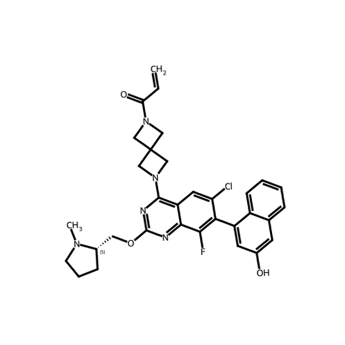 C=CC(=O)N1CC2(C1)CN(c1nc(OC[C@@H]3CCCN3C)nc3c(F)c(-c4cc(O)cc5ccccc45)c(Cl)cc13)C2